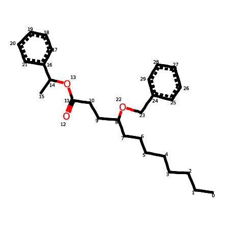 CCCCCCCCC(CCC(=O)OC(C)c1ccccc1)OCc1ccccc1